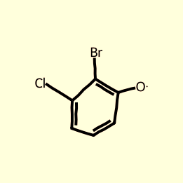 [O]c1cccc(Cl)c1Br